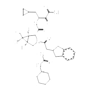 NC(=O)C(=O)C(CC1CC1)NC(=O)[C@@H]1[C@@H]2[C@H](CN1C(=O)[C@@H](NC(=O)NC1CCCCC1)C1Cc3ccccc3C1)C2(Cl)Cl